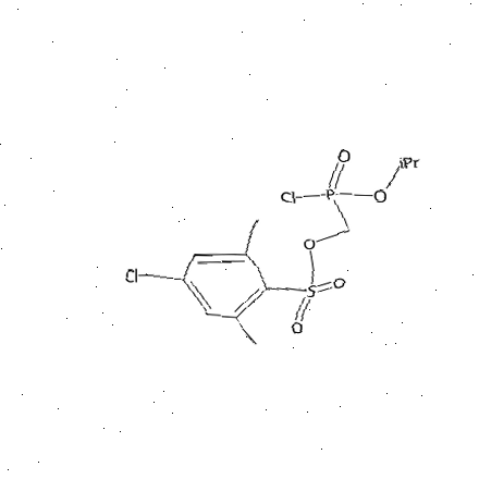 Cc1cc(Cl)cc(C)c1S(=O)(=O)OCP(=O)(Cl)OC(C)C